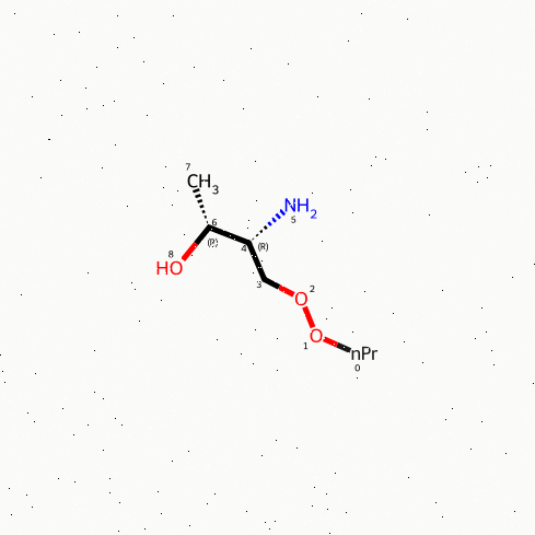 CCCOOC[C@@H](N)[C@@H](C)O